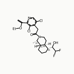 C=C(OCC)c1ncc(Cl)c(CC(=O)N2CC[C@@H]3[C@H](CCC[C@H]3C(O)C(F)F)[C@@H]2C)c1Cl